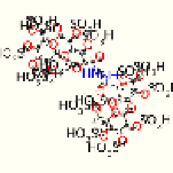 O=C(NNC(=O)[C@H](OS(=O)(=O)O)[C@@H](OS(=O)(=O)O)[C@H](O[C@@H]1O[C@H](COS(=O)(=O)O)[C@H](OS(=O)(=O)O)[C@H](OS(=O)(=O)O)[C@H]1OS(=O)(=O)O)[C@@H](COS(=O)(=O)O)OS(=O)(=O)O)[C@H](OS(=O)(=O)O)[C@@H](OS(=O)(=O)O)[C@H](O[C@@H]1O[C@H](COS(=O)(=O)O)[C@H](OS(=O)(=O)O)[C@H](OS(=O)(=O)O)[C@H]1OS(=O)(=O)O)[C@@H](COS(=O)(=O)O)OS(=O)(=O)O